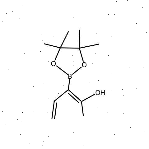 C=C/C(B1OC(C)(C)C(C)(C)O1)=C(\C)O